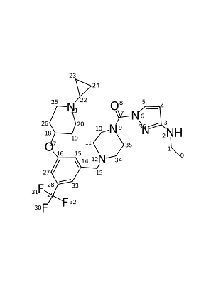 CCNc1ccn(C(=O)N2CCN(Cc3cc(OC4CCN(C5CC5)CC4)cc(C(F)(F)F)c3)CC2)n1